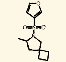 CC1CC2(CCC2)CN1S(=O)(=O)c1ccoc1